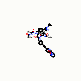 COC(=O)N[C@H](C(=O)NN(Cc1ccc(-c2cnn(C3CC3)c2)cc1)C[C@H](O)[C@H](Cc1ccc(C#Cc2ccc(N3CC4CCC(C3)N4C3COC3)nc2)cc1)NC(=O)[C@@H](NC(=O)OC)C(C)(C)C(F)(F)F)C(C)(C)C